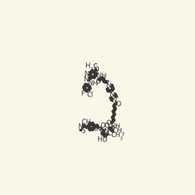 COc1cc2ncnc(Nc3ccc(F)c(Cl)c3)c2cc1NC(=O)/C=C/CN1CCC(N2CCN(C(=O)CCCCCCC(=O)N[C@H](C(=O)N3C[C@H](O)C[C@H]3C(=O)NCc3ccc(-c4scnc4C)cc3)C(C)(C)C)CC2)CC1